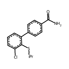 CC(C)Sc1c(Cl)cccc1-c1ccc(C(N)=O)cc1